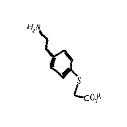 NCCc1ccc(SCC(=O)O)cc1